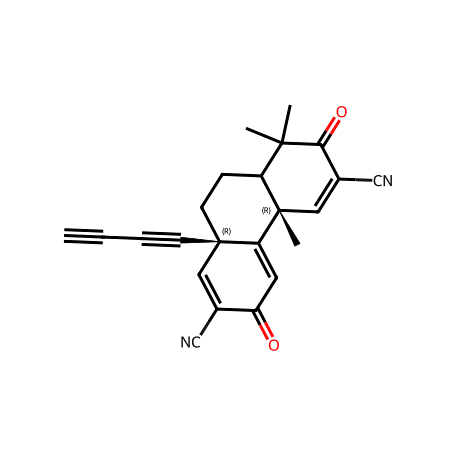 C#CC#C[C@]12C=C(C#N)C(=O)C=C1[C@@]1(C)C=C(C#N)C(=O)C(C)(C)C1CC2